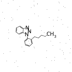 CCCCCc1ccccc1-n1nnc2ccccc21